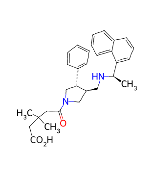 C[C@@H](NC[C@H]1CN(C(=O)CC(C)(C)CC(=O)O)C[C@@H]1c1ccccc1)c1cccc2ccccc12